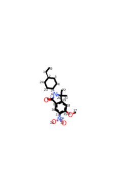 CC[C@H]1CC[C@H](N2C(=O)c3cc([N+](=O)[O-])c(OC)cc3C2(C)C)CC1